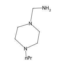 CCCN1CCN(CN)CC1